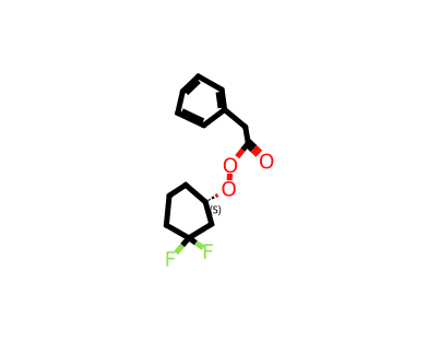 O=C(Cc1ccccc1)OO[C@H]1CCCC(F)(F)C1